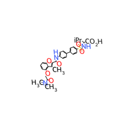 Cc1c(C(=O)Nc2ccc(-c3ccc(S(=O)(=O)NC(C(=O)O)C(C)C)cc3)cc2)oc2cccc(OCC(=O)N(C)C)c12